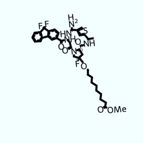 COC(=O)CCCCCCCCCOC[C@@]1(F)C[C@@H](C(=O)NC(C)c2cc(C(=N)N)cs2)N(C(=O)CNC(=O)c2ccc3c(c2)-c2ccccc2C3(F)F)C1